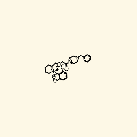 O=C(COCC1CCCCN1S(=O)(=O)c1c(Cl)cccc1Cl)N1CCN(Cc2ccccc2)CC1